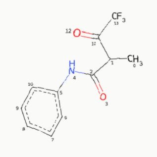 CC(C(=O)Nc1ccccc1)C(=O)C(F)(F)F